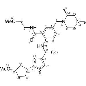 COCCNC(=O)c1cc(CN2CCN(C)C[C@@H]2C)ccc1NC(=O)c1csc(N2CC[C@H](OC)C2)n1